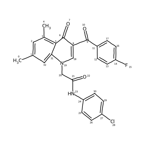 Cc1cc(C)c2c(=O)c(C(=O)c3ccc(F)cc3)cn(CC(=O)Nc3ccc(Cl)cc3)c2c1